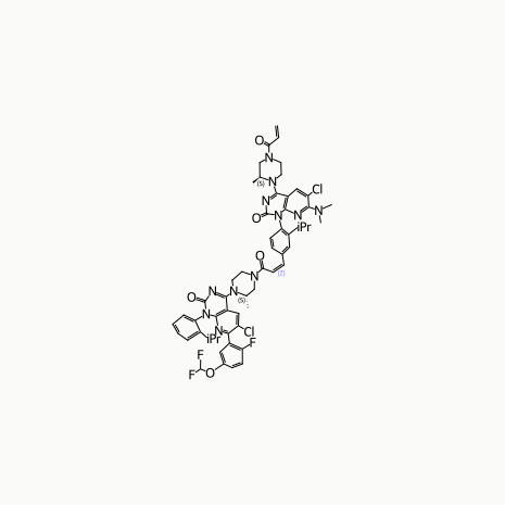 C=CC(=O)N1CCN(c2nc(=O)n(-c3ccc(/C=C\C(=O)N4CCN(c5nc(=O)n(-c6ccccc6C(C)C)c6nc(-c7cc(OC(F)F)ccc7F)c(Cl)cc56)[C@@H](C)C4)cc3C(C)C)c3nc(N(C)C)c(Cl)cc23)[C@@H](C)C1